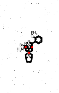 Nc1nnc(-c2ccccc2OP)cc1N1CC2CCC(C1)N2c1ccnc(Br)c1